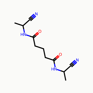 CC(C#N)NC(=O)CCCC(=O)NC(C)C#N